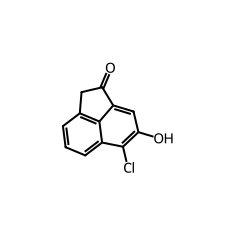 O=C1Cc2cccc3c(Cl)c(O)cc1c23